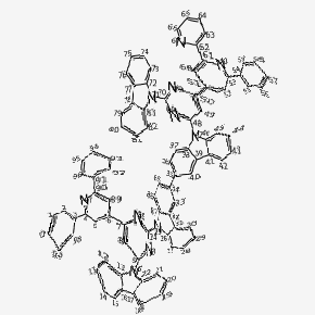 c1ccc(-c2cc(-c3cc(-n4c5ccccc5c5ccccc54)nc(-n4c5ccccc5c5cc(-c6ccc7c(c6)c6ccccc6n7-c6cc(-c7cc(-c8ccccc8)nc(-c8ccccn8)c7)nc(-n7c8ccccc8c8ccccc87)n6)ccc54)n3)cc(-c3ccccc3)n2)cc1